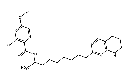 CC(C)Oc1ccc(C(=O)NC(CCCCCCCc2ccc3c(n2)NCCC3)C(=O)O)c(Cl)c1